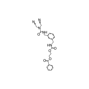 N#CCN(CC#N)C(=O)NCc1cccc(CNC(=O)OCCOC(=O)c2ccccc2)c1